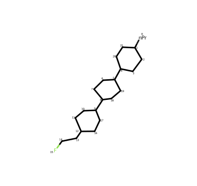 CCCC1CCC(C2CCC(C3CCC(CCF)CC3)CC2)CC1